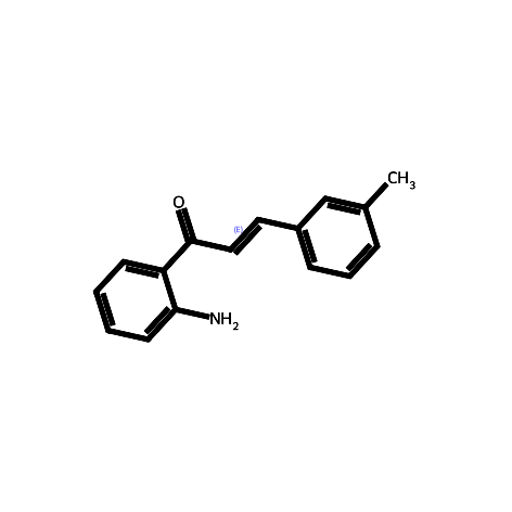 Cc1cccc(/C=C/C(=O)c2ccccc2N)c1